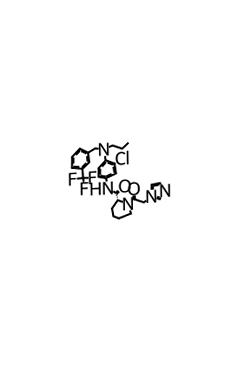 CCCN(Cc1cccc(C(F)(F)F)c1)c1ccc(NC(=O)[C@H]2CCCCN2C(=O)Cn2ccnc2)cc1Cl